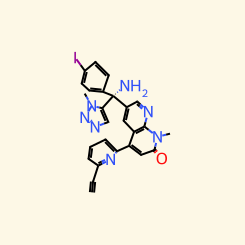 C#Cc1cccc(-c2cc(=O)n(C)c3ncc([C@](N)(c4ccc(I)cc4)c4cnnn4C)cc23)n1